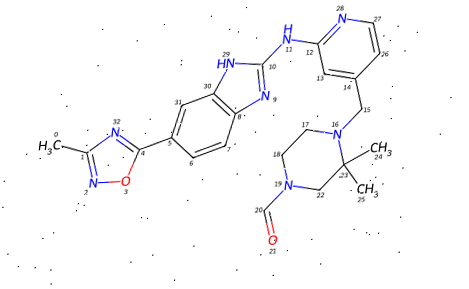 Cc1noc(-c2ccc3nc(Nc4cc(CN5CCN(C=O)CC5(C)C)ccn4)[nH]c3c2)n1